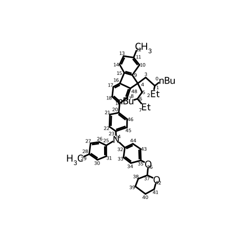 CCCCC(CC)CC1(CC(CC)CCCC)c2cc(C)ccc2-c2ccc(-c3ccc(N(c4ccc(C)cc4)c4ccc(OC5CCCCO5)cc4)cc3)cc21